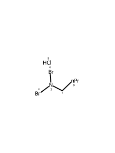 CCCCN(Br)Br.Cl